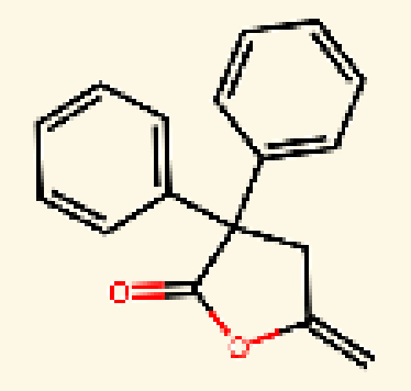 C=C1CC(c2ccccc2)(c2ccccc2)C(=O)O1